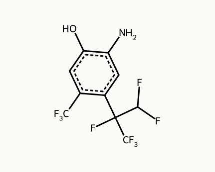 Nc1cc(C(F)(C(F)F)C(F)(F)F)c(C(F)(F)F)cc1O